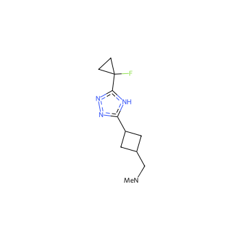 CNCC1CC(c2nnc(C3(F)CC3)[nH]2)C1